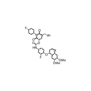 COc1cc2nccc(Oc3ccc(NC(=O)Oc4cn(CC(C)C)c(=O)n(-c5ccc(F)cc5)c4=O)cc3F)c2cc1OC